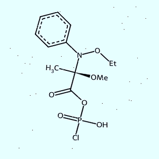 CCON(c1ccccc1)[C@](C)(OC)C(=O)OP(=O)(O)Cl